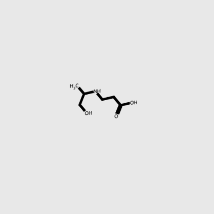 CC(CO)NCCC(=O)O